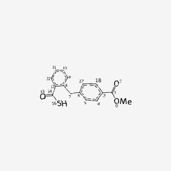 COC(=O)c1ccc(Cc2ccccc2C(=O)S)cc1